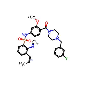 C=Nc1c(/C=C\C)cccc1S(=O)(=O)Nc1ccc(C(=O)N2CCN(Cc3cccc(F)c3)CC2)c(OC)c1